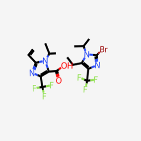 C=Cc1nc(C(F)(F)F)c(C(=O)O)n1C(C)C.CCc1c(C(F)(F)F)nc(Br)n1C(C)C